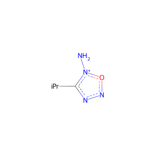 CC(C)c1nno[n+]1N